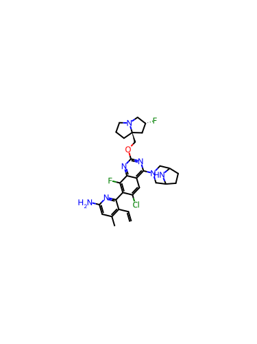 C=Cc1c(C)cc(N)nc1-c1c(Cl)cc2c(N3CC4CCC(C3)N4)nc(OC[C@@]34CCCN3C[C@H](F)C4)nc2c1F